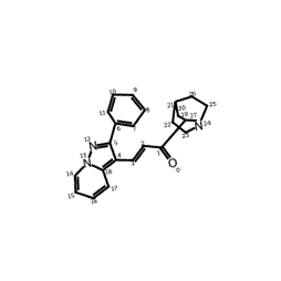 O=C(C=Cc1c(-c2ccccc2)nn2ccccc12)C1CC2CCN(CC2)C1